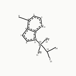 Cc1ccnc2c1ccn2[Si](C(C)C)(C(C)C)C(C)I